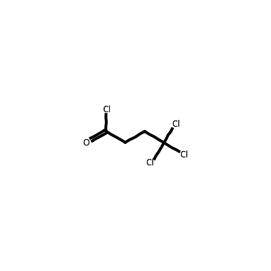 O=C(Cl)CCC(Cl)(Cl)Cl